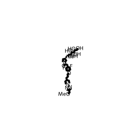 COCc1cnc(N2CCC(CCCOc3cc(F)c(CC(=O)N4CC[C@@H](CNC[C@H](O)[C@@H](O)[C@H](O)[C@H](O)CO)C4)c(F)c3)CC2)nc1